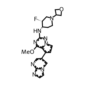 COc1nc(N[C@H]2CCN(C3COC3)C[C@H]2F)nn2ccc(-c3cnc4nccn4c3)c12